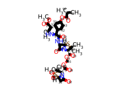 COC(=O)C=C(C)NC(C(=O)N[C@@H]1C(=O)N2[C@@H]1SC(C)(C)[C@@H]2C(=O)OCOC(=O)[C@@H]1N2C(=O)C[C@H]2S(=O)(=O)C1(C)C)c1ccc(OC(=O)C(C)C)cc1